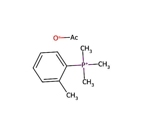 CC(=O)[O-].Cc1ccccc1[P+](C)(C)C